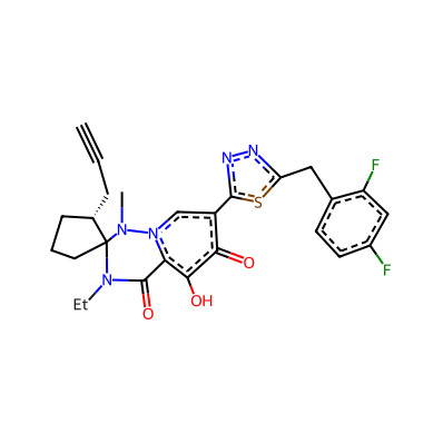 C#CC[C@H]1CCCC12N(CC)C(=O)c1c(O)c(=O)c(-c3nnc(Cc4ccc(F)cc4F)s3)cn1N2C